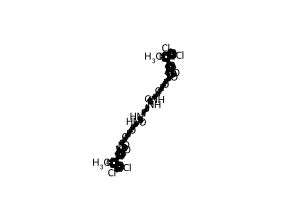 CN1Cc2c(Cl)cc(Cl)cc2C(c2ccc3c(c2)CN(CCOCCOCCNC(=O)NCCCCNC(=O)NCCOCCOCCN2Cc4cc(C5CN(C)Cc6c(Cl)cc(Cl)cc65)ccc4S2(=O)=O)S3(=O)=O)C1